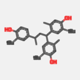 Cc1cc(O)c(C(C)(C)C)cc1C(CC(C)c1ccc(O)c(C(C)(C)C)c1)c1cc(C(C)(C)C)c(O)cc1C